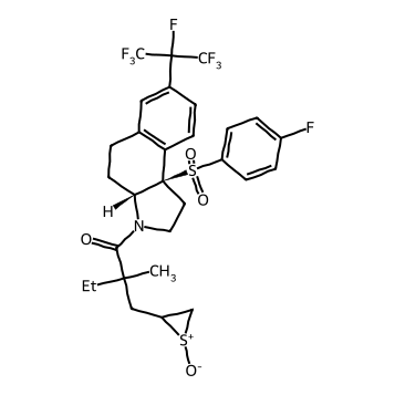 CCC(C)(CC1C[S+]1[O-])C(=O)N1CC[C@@]2(S(=O)(=O)c3ccc(F)cc3)c3ccc(C(F)(C(F)(F)F)C(F)(F)F)cc3CC[C@@H]12